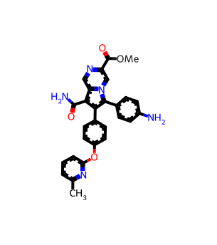 COC(=O)c1cn2c(-c3ccc(N)cc3)c(-c3ccc(Oc4cccc(C)n4)cc3)c(C(N)=O)c2cn1